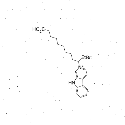 CCC(CCCCCCCCC(=O)O)[n+]1ccc2c(c1)[nH]c1ccccc12.[Br-]